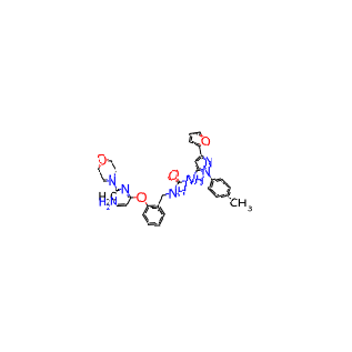 C=C(/N=C(\C=C/N)Oc1ccccc1CNC(=O)Nc1cc(-c2ccco2)nn1-c1ccc(C)cc1)N1CCOCC1